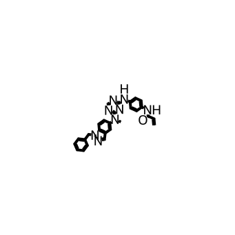 C=CC(=O)Nc1ccc(Nc2ncnc(N(C)c3ccc4c(cnn4Cc4ccccc4)c3)n2)cc1